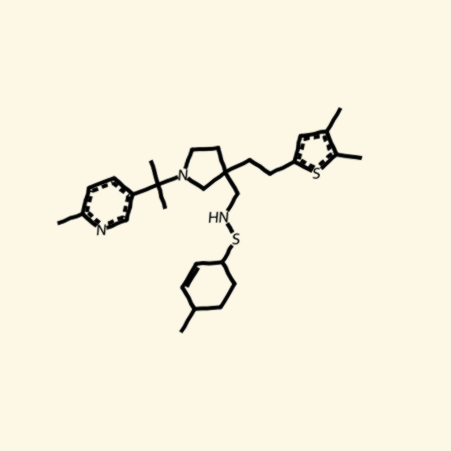 Cc1ccc(C(C)(C)N2CCC(CCc3cc(C)c(C)s3)(CNSC3C=CC(C)CC3)C2)cn1